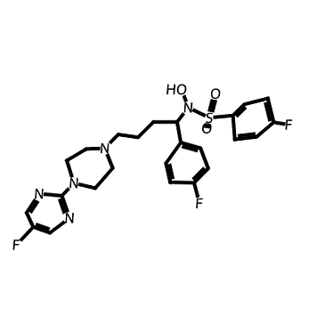 O=S(=O)(c1ccc(F)cc1)N(O)C(CCCN1CCN(c2ncc(F)cn2)CC1)c1ccc(F)cc1